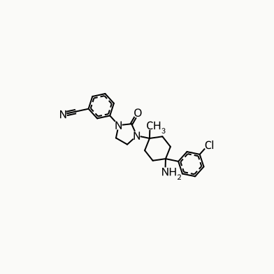 CC1(N2CCN(c3cccc(C#N)c3)C2=O)CCC(N)(c2cccc(Cl)c2)CC1